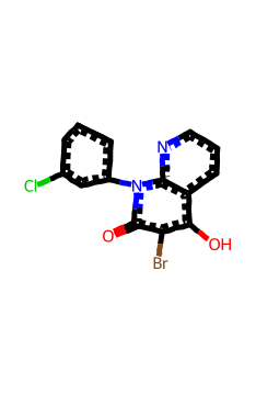 O=c1c(Br)c(O)c2cccnc2n1-c1cccc(Cl)c1